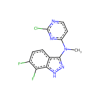 CN(c1ccnc(Cl)n1)c1n[nH]c2c(F)c(F)ccc12